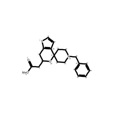 COC(=O)CC1Cc2sccc2C2(CCN(Cc3ccccc3)CC2)O1